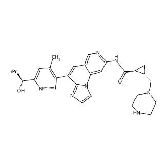 CCC[C@H](O)c1cc(C)c(-c2cc3cnc(NC(=O)[C@H]4C[C@@H]4CN4CCNCC4)cc3n3ccnc23)cn1